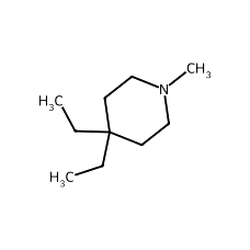 CCC1(CC)CCN(C)CC1